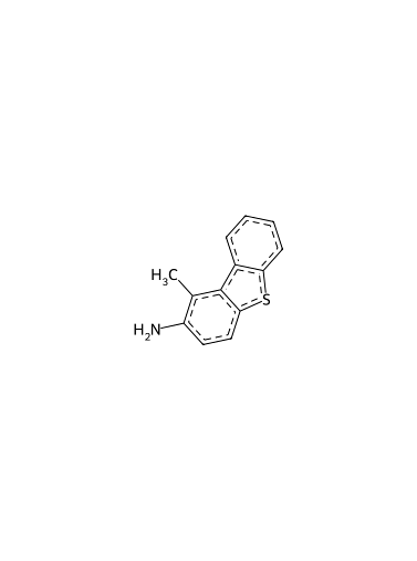 Cc1c(N)ccc2sc3ccccc3c12